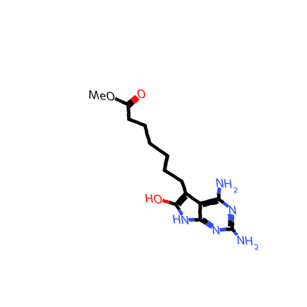 COC(=O)CCCCCCc1c(O)[nH]c2nc(N)nc(N)c12